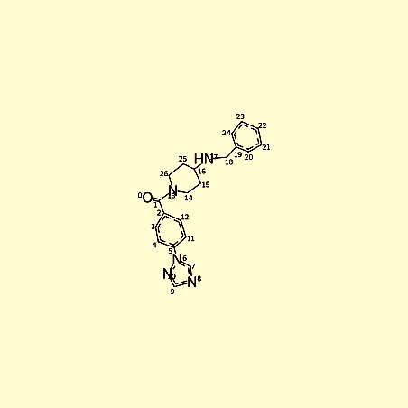 O=C(c1ccc(-n2cncn2)cc1)N1CCC(NCc2ccccc2)CC1